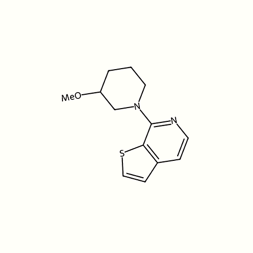 COC1CCCN(c2nccc3ccsc23)C1